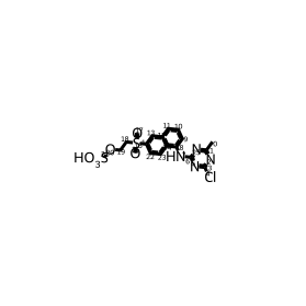 Cc1nc(Cl)nc(Nc2cccc3cc(S(=O)(=O)CCOS(=O)(=O)O)ccc23)n1